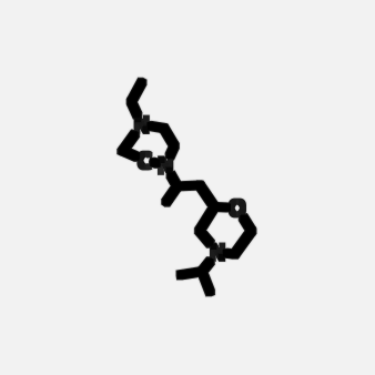 CCN1CCN(C(C)CC2CN(C(C)C)CCO2)CC1